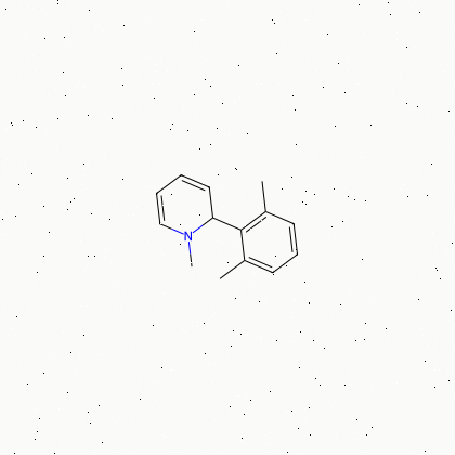 Cc1cccc(C)c1C1C=CC=CN1C